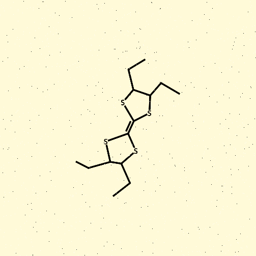 CCC1SC(=C2SC(CC)C(CC)S2)SC1CC